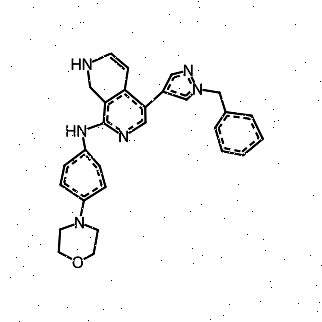 C1=Cc2c(-c3cnn(Cc4ccccc4)c3)cnc(Nc3ccc(N4CCOCC4)cc3)c2CN1